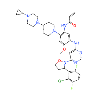 C=CC(=O)Nc1cc(Nc2cc(N3OCCC3c3c(F)ccc(F)c3Cl)ncn2)c(OC)cc1N1CCC(N2CCN(C3CC3)CC2)CC1